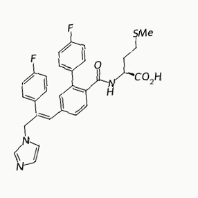 CSCC[C@H](NC(=O)c1ccc(/C=C(/Cn2ccnc2)c2ccc(F)cc2)cc1-c1ccc(F)cc1)C(=O)O